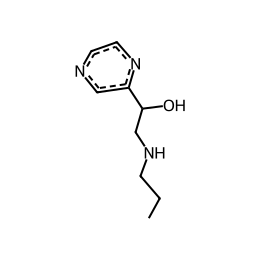 CCCNCC(O)c1cnccn1